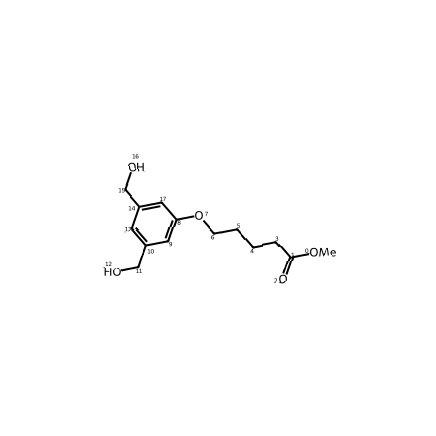 COC(=O)CCCCOc1cc(CO)cc(CO)c1